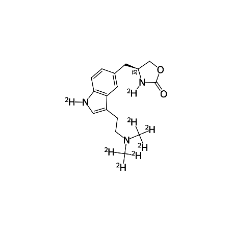 [2H]N1C(=O)OC[C@@H]1Cc1ccc2c(c1)c(CCN(C([2H])([2H])[2H])C([2H])([2H])[2H])cn2[2H]